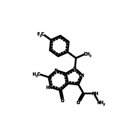 Cc1nc2c(c(C(=O)NN)nn2C(C)c2ccc(C(F)(F)F)cc2)c(=O)[nH]1